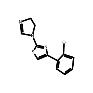 [O]c1ccccc1-c1csc(N2C=NCC2)n1